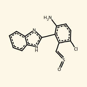 Nc1ccc(Cl)c(C=S=O)c1-c1nc2ccccc2[nH]1